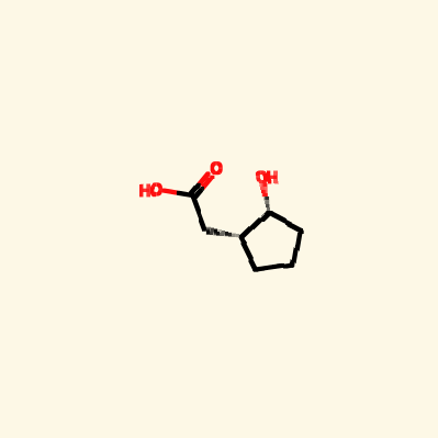 O=C(O)C[C@H]1CCC[C@H]1O